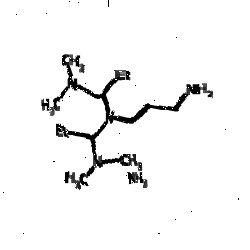 CCC(N(C)C)N(CCCN)C(CC)N(C)C.N